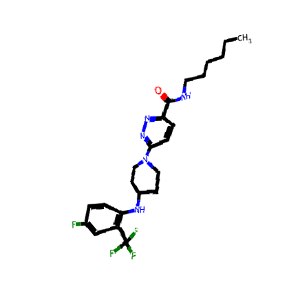 CCCCCCNC(=O)c1ccc(N2CCC(Nc3ccc(F)cc3C(F)(F)F)CC2)nn1